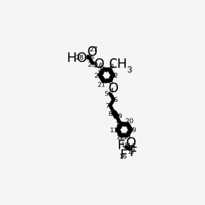 Cc1cc(OCCCC#Cc2ccc(OC(F)(F)F)cc2)ccc1OCC(=O)O